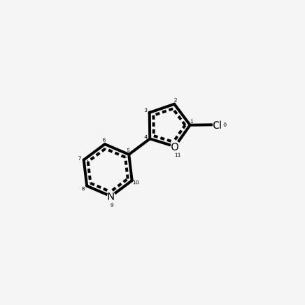 Clc1ccc(-c2cccnc2)o1